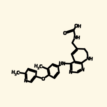 Cc1ccc(Oc2ccc(Nc3ncnc4c3C=C(CNC(=O)O)CCN4)cc2C)cn1